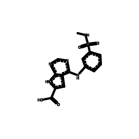 CNS(=O)(=O)c1cccc(Nc2ncnc3[nH]c(C(=O)O)cc23)c1